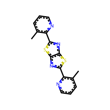 Cc1cccnc1-c1nc2sc(-c3ncccc3C)nc2s1